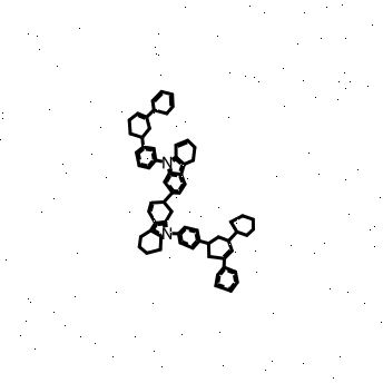 C1=CCC(C2=CCCC(c3cccc(-n4c5c(c6ccc(C7C=Cc8c9c(n(-c%10ccc(C%11CC(c%12ccccc%12)=CC(C%12CCCCC%12)C%11)cc%10)c8C7)CCCC9)cc64)CCC=C5)c3)C2)C=C1